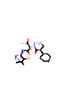 CC(C)C(=O)[C@H](CN)NC(=O)[C@@H](NC(=O)C(CN)C1CCCCC1)[C@H](C)O